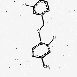 Cc1ccc(OCc2cccc(Cl)c2)c(Cl)c1